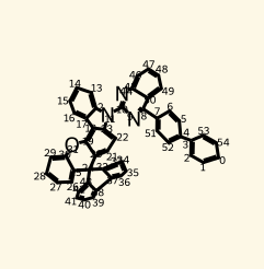 c1ccc(-c2ccc(-c3nc(-n4c5ccccc5c5c6c(ccc54)C4(c5ccccc5O6)c5ccccc5-c5ccccc54)nc4ccccc34)cc2)cc1